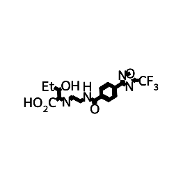 CCC(O)C(N=CCNC(=O)c1ccc(-c2noc(C(F)(F)F)n2)cc1)C(=O)O